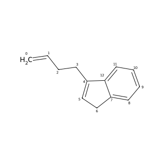 C=CCCC1=CCc2ccccc21